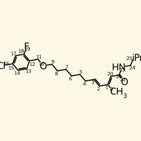 CC(C=CCCCCCCOCc1ccc(Cl)cc1F)=CC(=O)NCC(C)C